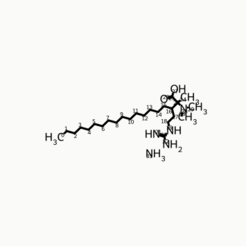 CCCCCCCCCCCCCCCCC(CCNC(=N)N)C(C)(C(=O)O)N(C)C.N